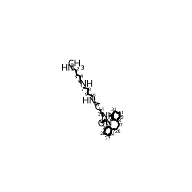 CNCCCCNCCCCNCCCCNC(=O)N1c2ccccc2CCc2ccccc21